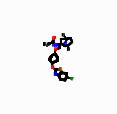 CC(=O)NC1C[C@H]2CC[C@@H](C1)N2CCOc1ccc(Oc2nc3ccc(F)cc3s2)cc1